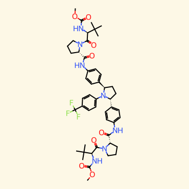 COC(=O)N[C@H](C(=O)N1CCC[C@H]1C(=O)Nc1ccc([C@H]2CC[C@H](c3ccc(NC(=O)[C@@H]4CCCN4C(=O)[C@@H](NC(=O)OC)C(C)(C)C)cc3)N2c2ccc(C(F)(F)F)cc2)cc1)C(C)(C)C